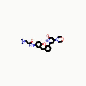 CN(C)CCC(=O)Nc1ccc2c(c1)Cc1cccc(-c3cc(N4CCOCC4)cc(=O)[nH]3)c1O2